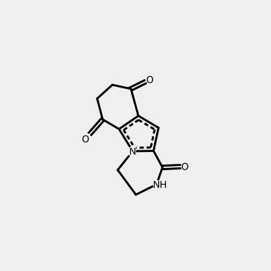 O=C1CCC(=O)c2c1cc1n2CCNC1=O